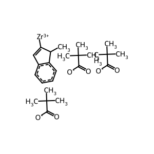 CC(C)(C)C(=O)[O-].CC(C)(C)C(=O)[O-].CC(C)(C)C(=O)[O-].CC1[C]([Zr+3])=Cc2ccccc21